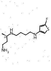 C[C@H](CCN)NCCCCNc1csc(F)c1